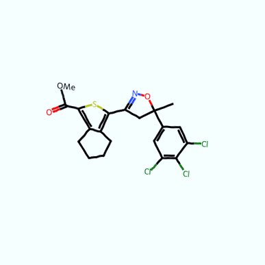 COC(=O)c1sc(C2=NOC(C)(c3cc(Cl)c(Cl)c(Cl)c3)C2)c2c1CCCC2